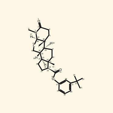 CN1C(=O)CC[C@]2(C)[C@H]3CC[C@]4(C)[C@@H](C(=O)Oc5cccc(C(C)(C)C)c5)CC[C@H]4[C@@H]3CC[C@@H]12